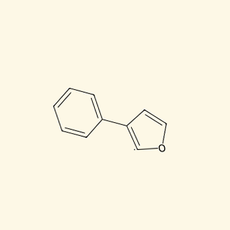 [c]1occc1-c1ccccc1